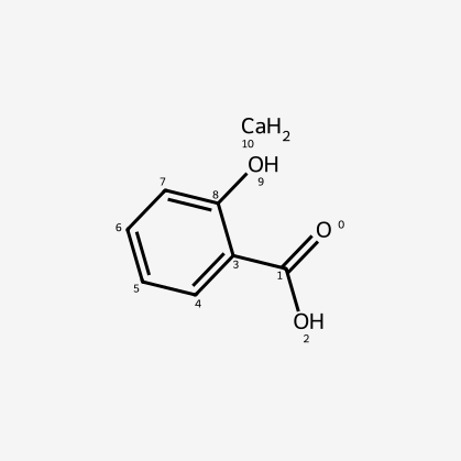 O=C(O)c1ccccc1O.[CaH2]